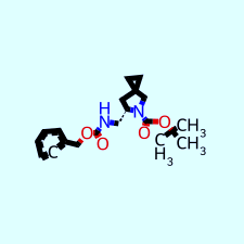 CC(C)(C)OC(=O)N1CC2(CC2)C[C@H]1CNC(=O)OCc1ccccc1